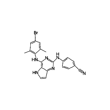 Cc1cc(Br)cc(C)c1Nc1nc(Nc2ccc(C#N)cc2)nc2cc[nH]c12